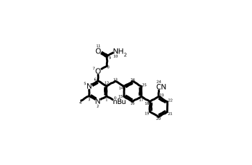 CCCCc1nc(C)nc(OCC(N)=O)c1Cc1ccc(-c2ccccc2C#N)cc1